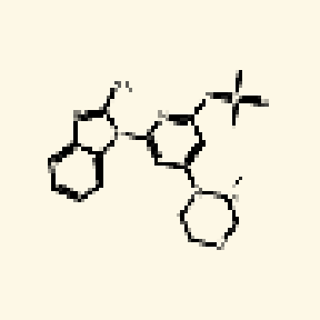 C[C@@H]1COCCN1c1cc(N=S(C)(C)=O)nc(-n2c(N)nc3ccccc32)c1